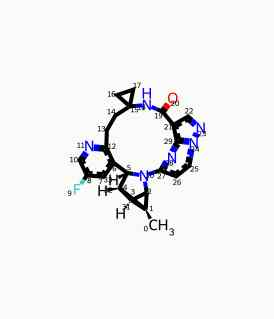 C[C@@]12C3[C@@H]1[C@@H]2[C@@H]1c2cc(F)cnc2CCC2(CC2)NC(=O)c2cnn4ccc(nc24)N31